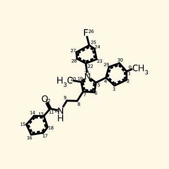 Cc1ccc(-c2cc(CCNC(=O)c3ccccc3)c(C)n2-c2ccc(F)cc2)cc1